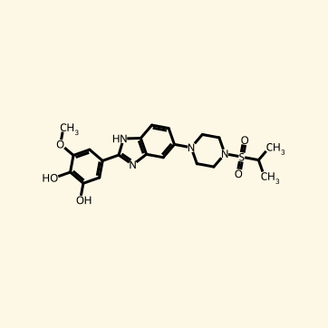 COc1cc(-c2nc3cc(N4CCN(S(=O)(=O)C(C)C)CC4)ccc3[nH]2)cc(O)c1O